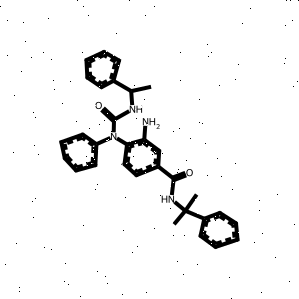 CC(NC(=O)N(c1ccccc1)c1[c]cc(C(=O)NC(C)(C)c2ccccc2)cc1N)c1ccccc1